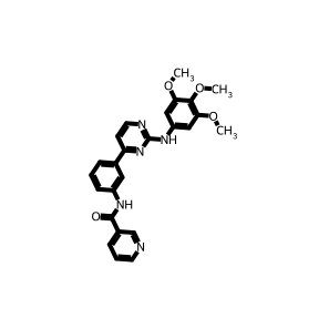 COc1cc(Nc2nccc(-c3cccc(NC(=O)c4cccnc4)c3)n2)cc(OC)c1OC